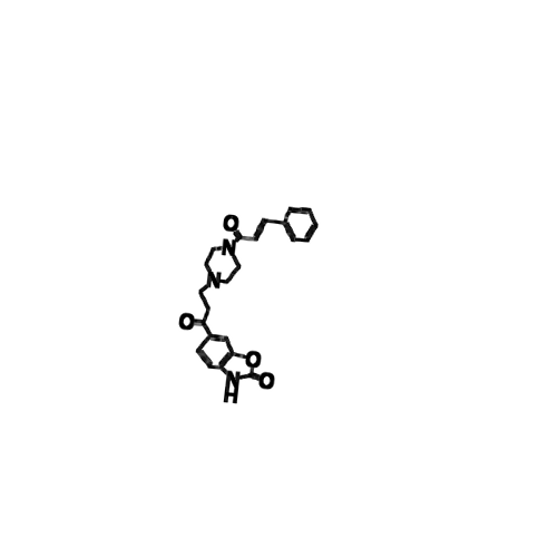 O=C(CCN1CCN(C(=O)/C=C/c2ccccc2)CC1)c1ccc2[nH]c(=O)oc2c1